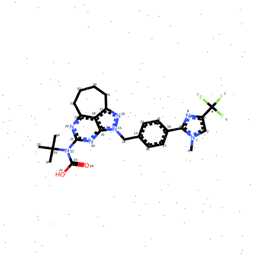 Cn1cc(C(F)(F)F)nc1-c1ccc(Cn2nc3c4c(nc(N(C(=O)O)C(C)(C)C)nc42)CCCC3)cc1